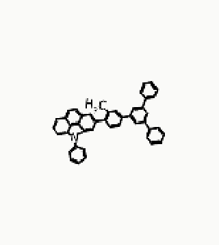 Cc1cc(-c2cc(-c3ccccc3)cc(-c3ccccc3)c2)ccc1-c1cc2ccc3cccc4c3c2c(c1)n4-c1ccccc1